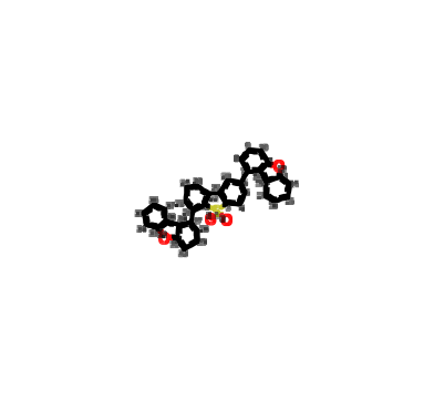 O=S1(=O)c2ccc(-c3cccc4oc5ccccc5c34)cc2-c2cccc(-c3cccc4oc5ccccc5c34)c21